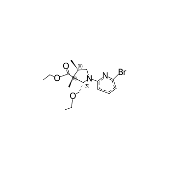 CCOC[C@H]1N(c2cccc(Br)n2)C[C@H](C)[C@@]1(C)C(=O)OCC